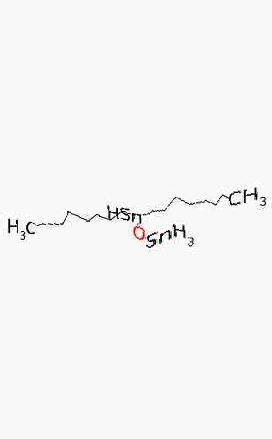 CCCCCCC[CH2][SnH]([CH2]CCCCCCC)[O][SnH3]